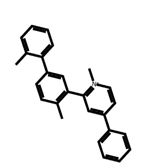 Cc1ccccc1-c1ccc(C)c(-c2cc(-c3ccccc3)cc[n+]2C)c1